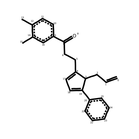 C=CCC1C(CCC(=O)c2ccc(C)c(C)c2)=CC=C1c1ccccc1